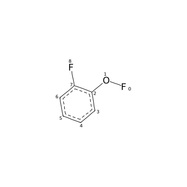 FOc1ccccc1F